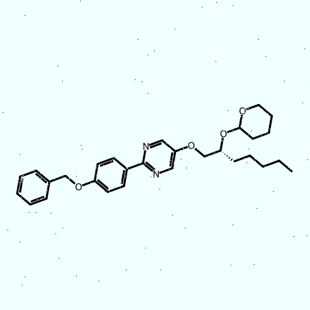 CCCCC[C@H](COc1cnc(-c2ccc(OCc3ccccc3)cc2)nc1)OC1CCCCO1